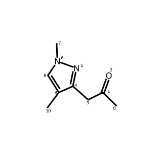 CC(=O)Cc1nn(C)cc1C